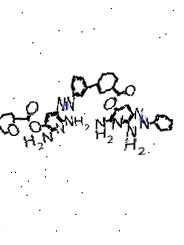 Nc1nc(N)c(OC(=O)C2CCCC(c3cccc(/N=N/c4cc(OC(=O)C5CCCCO5)c(N)nc4N)c3)C2)cc1/N=N/c1ccccc1